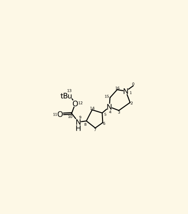 CN1CCN(C2CCC(NC(=O)OC(C)(C)C)C2)CC1